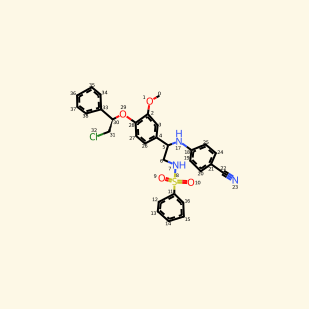 COc1cc(C(CNS(=O)(=O)c2ccccc2)Nc2ccc(C#N)cc2)ccc1O[C@@H](CCl)c1ccccc1